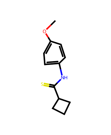 COc1ccc(NC(=S)C2CCC2)cc1